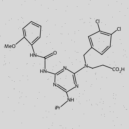 COc1ccccc1NC(=O)Nc1nc(NC(C)C)nc(N(CCC(=O)O)Cc2ccc(Cl)c(Cl)c2)n1